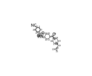 N#Cc1ccc(S(=O)(=O)N[C@H]2CC[C@H](C(=O)N3CCN(CC4CC4)CC3)CC2)cc1